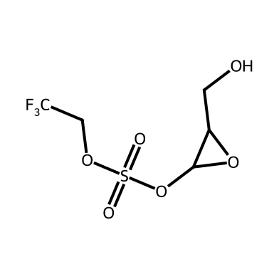 O=S(=O)(OCC(F)(F)F)OC1OC1CO